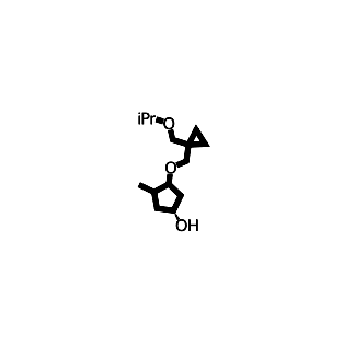 CC(C)OCC1(COC2C[C@H](O)CC2C)CC1